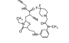 CCN1C(=O)C(CCNc2cccc(N(C)C(=O)CN3CCC(F)(F)CC3)c2)SC1CC(C#N)C(=O)NCC#N